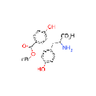 CCCOC(=O)c1ccc(O)cc1.NC(Cc1ccc(O)cc1)C(=O)O